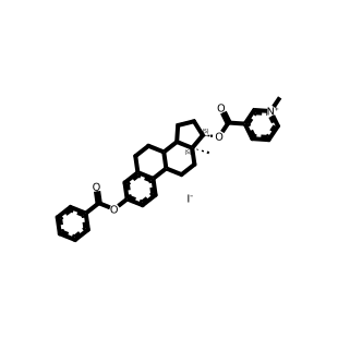 C[n+]1cccc(C(=O)O[C@H]2CCC3C4CCc5cc(OC(=O)c6ccccc6)ccc5C4CC[C@@]32C)c1.[I-]